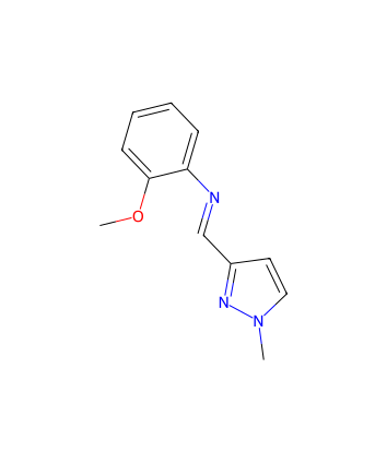 COc1ccccc1/N=C/c1ccn(C)n1